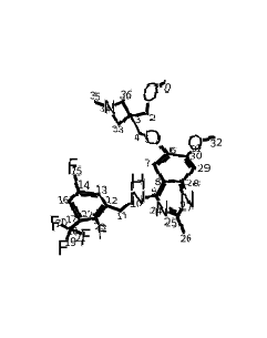 COCC1(COc2cc3c(NCc4cc(F)cc(C(F)(F)F)c4F)nc(C)nc3cc2OC)CN(C)C1